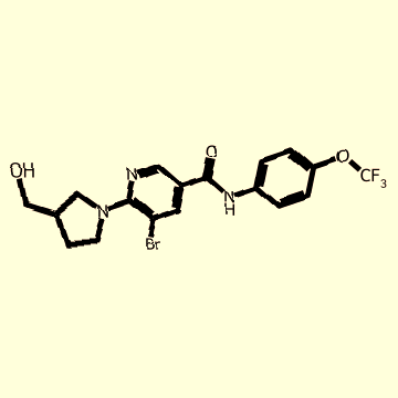 O=C(Nc1ccc(OC(F)(F)F)cc1)c1cnc(N2CCC(CO)C2)c(Br)c1